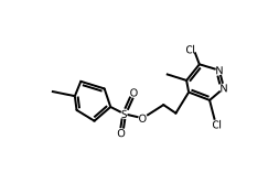 Cc1ccc(S(=O)(=O)OCCc2c(Cl)nnc(Cl)c2C)cc1